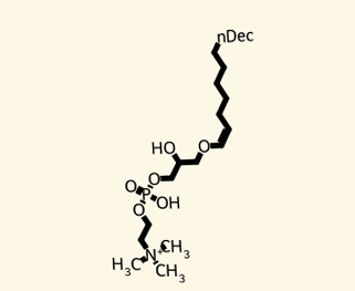 CCCCCCCCCCCCCCC/C=C\OCC(O)COP(=O)(O)OCC[N+](C)(C)C